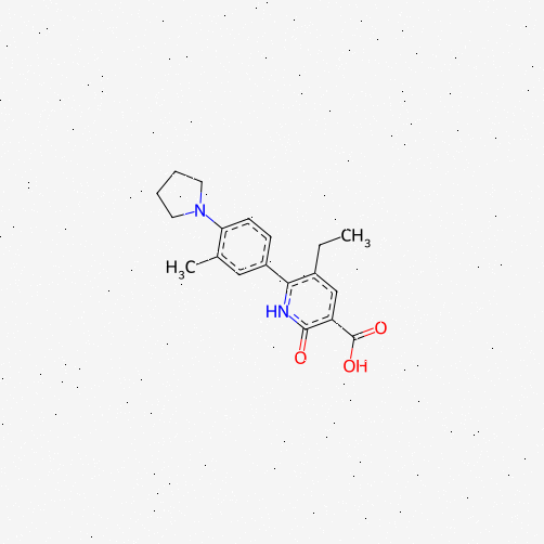 CCc1cc(C(=O)O)c(=O)[nH]c1-c1ccc(N2CCCC2)c(C)c1